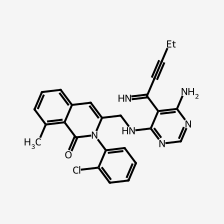 CCC#CC(=N)c1c(N)ncnc1NCc1cc2cccc(C)c2c(=O)n1-c1ccccc1Cl